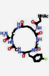 CC(=O)NCC(=O)N[C@H]1CCC(=O)NCC[C@@H](C(N)=O)NC(=O)CNC(=O)[C@@H](Cc2ccc(F)cc2)NC(=O)CNC1=O